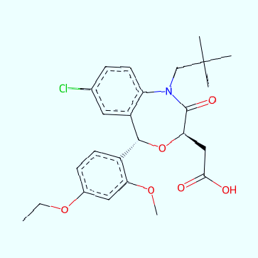 CCOc1ccc([C@H]2O[C@H](CC(=O)O)C(=O)N(CC(C)(C)C)c3ccc(Cl)cc32)c(OC)c1